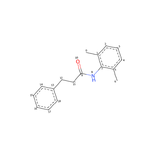 Cc1cccc(C)c1NC(=O)[CH]Cc1ccccc1